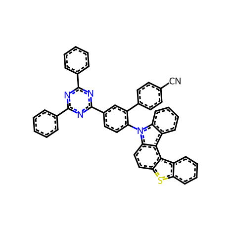 N#Cc1ccc(-c2cc(-c3nc(-c4ccccc4)nc(-c4ccccc4)n3)ccc2-n2c3ccccc3c3c4c(ccc32)sc2ccccc24)cc1